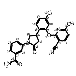 Cc1ccc(C#N)c(Oc2cc(Cl)ccc2C2CC(=O)N(c3cccc(C(N)=O)c3)C2)n1